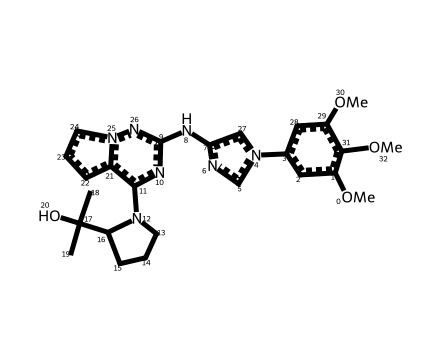 COc1cc(-n2cnc(Nc3nc(N4CCCC4C(C)(C)O)c4cccn4n3)c2)cc(OC)c1OC